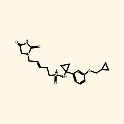 O=C1CN(C/C=C/CCS(=O)(=O)NC2(c3cccc(OCC4CC4)c3)CC2)C(=O)N1